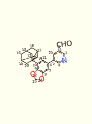 O=Cc1cncc(-c2cc3c(c(C45CC6CC(CC(C6)C4)C5)c2)OCO3)c1